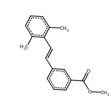 COC(=O)c1cccc(C=Cc2c(C)cccc2C)c1